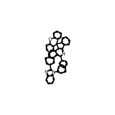 c1ccc(-c2nc3c(c4ccccc24)C2(c4ccccc4Oc4ccc(-c5ccc(-c6nc7ccccc7n6-c6ccccc6)cc5)cc42)c2ccccc2-3)cc1